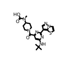 CN(C(=O)O)C1CCN(C(=O)c2cc(NC(C)(C)C)nc(-c3cnn4ccsc34)n2)CC1